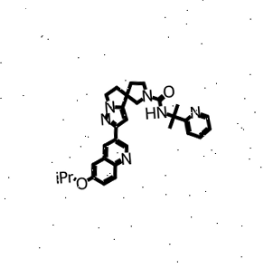 CC(C)Oc1ccc2ncc(-c3cc4n(n3)CCC43CCN(C(=O)NC(C)(C)c4ccccn4)C3)cc2c1